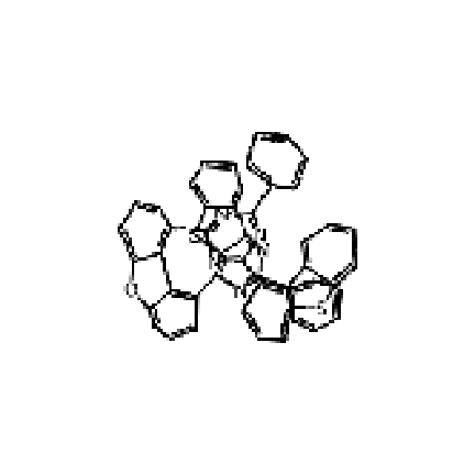 c1ccc(-c2nc(-c3cccc4sc5ccccc5c34)nc(-c3cccc4oc5cccc(-c6nc(-c7ccccc7)nc7c6sc6ccccc67)c5c34)n2)cc1